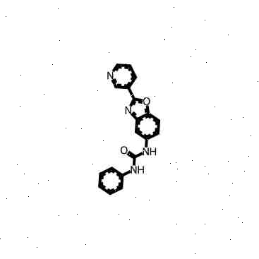 O=C(Nc1ccccc1)Nc1ccc2oc(-c3cccnc3)nc2c1